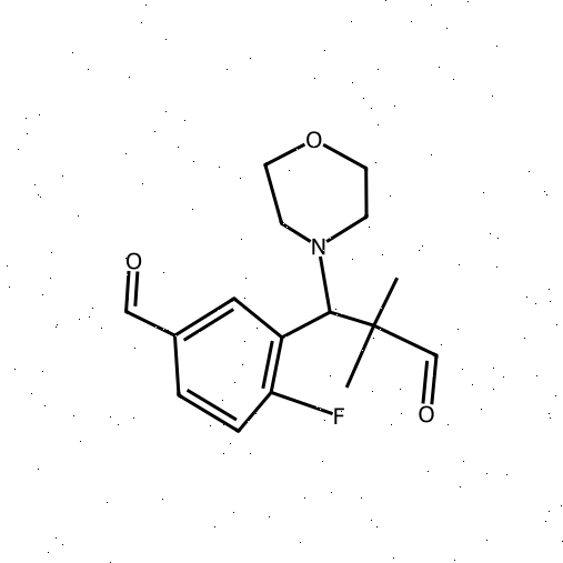 CC(C)(C=O)C(c1cc(C=O)ccc1F)N1CCOCC1